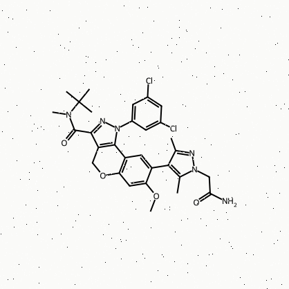 COc1cc2c(cc1-c1c(C)nn(CC(N)=O)c1C)-c1c(c(C(=O)N(C)C(C)(C)C)nn1-c1cc(Cl)cc(Cl)c1)CO2